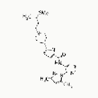 CSC(C)CCN1CCC(c2nc(C(=O)Nc3cccnc3-n3nc(C)cc3C)cs2)CC1